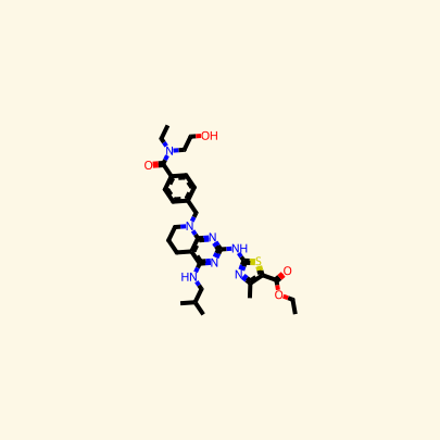 CCOC(=O)c1sc(Nc2nc(NCC(C)C)c3c(n2)N(Cc2ccc(C(=O)N(CC)CCO)cc2)CCC3)nc1C